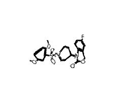 COc1ccc(OC)c(S(=O)(=O)N2CCC(N3C(=O)OCc4cc(F)ccc43)CC2)c1